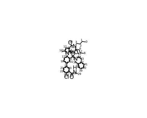 CCCCN(CCCC)C(=O)c1cc(C)n(-c2ccc(-c3ccc(Cl)c(C(=O)NC)c3)cc2C(=O)N2Cc3ccccc3C[C@H]2CO)n1